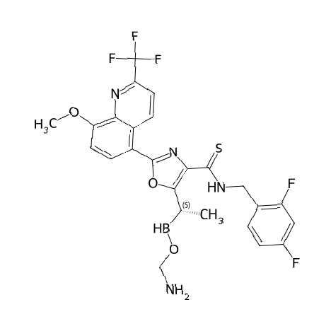 COc1ccc(-c2nc(C(=S)NCc3ccc(F)cc3F)c([C@H](C)BOCN)o2)c2ccc(C(F)(F)F)nc12